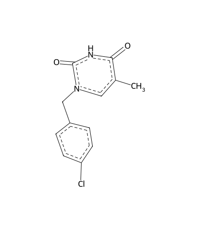 Cc1cn(Cc2ccc(Cl)cc2)c(=O)[nH]c1=O